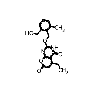 CCc1cc(=O)oc2nc(OCc3c(C)cccc3CO)[nH]c(=O)c12